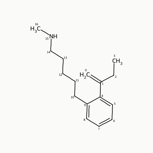 C=C(CC)c1ccccc1CCCCCNC